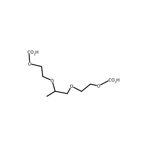 CC(COCCOC(=O)O)OCCOC(=O)O